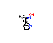 CC(=NO)[C@@H]1CN2CCC1CC2